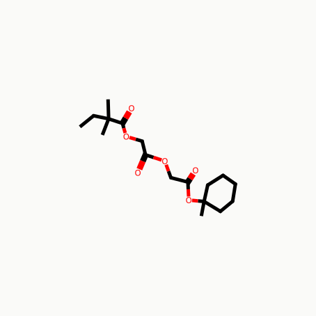 CCC(C)(C)C(=O)OCC(=O)OCC(=O)OC1(C)CCCCC1